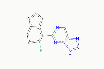 Fc1ccc2[nH]ccc2c1-c1ncc2nc[nH]c2n1